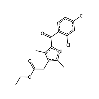 CCOC(=O)Cc1c(C)[nH]c(C(=O)c2ccc(Cl)cc2Cl)c1C